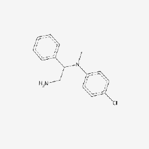 CN(c1ccc(Cl)cc1)C(CN)c1ccccc1